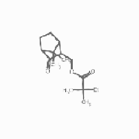 CCC(C)(C)C(=O)OCC1C(=O)C2CCC1C2(C)C